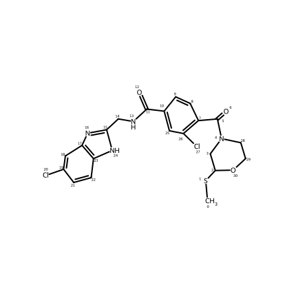 CSC1CN(C(=O)c2ccc(C(=O)NCc3nc4cc(Cl)ccc4[nH]3)cc2Cl)CCO1